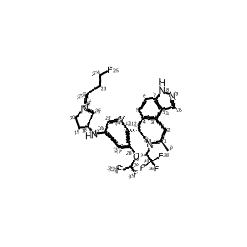 C[C@@H]1Cc2c(ccc3[nH]ncc23)[C@@H](c2ncc(N[C@H]3CCN(CCCF)C3)cc2OC(F)F)N1CC(F)(F)F